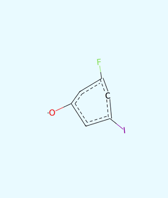 [O]c1cc(F)cc(I)c1